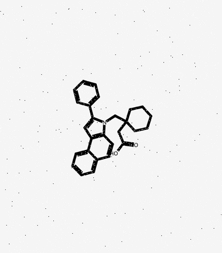 O=C(O)CC1(Cn2c(-c3ccccc3)cc3c4ccccc4ccc32)CCCCC1